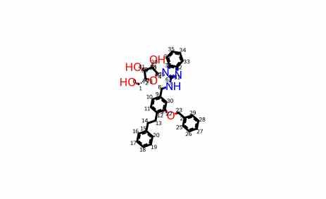 OC[C@H]1O[C@@H](n2c(NCc3ccc(CCc4ccccc4)c(OCc4ccccc4)c3)nc3ccccc32)[C@H](O)[C@@H]1O